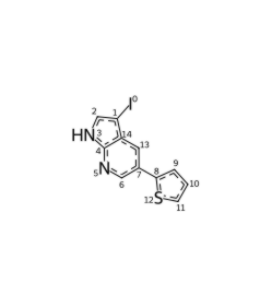 Ic1c[nH]c2ncc(-c3cccs3)cc12